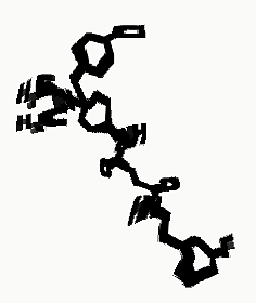 CN(C)C1(Cc2ccc(Cl)cc2)CCC(NC(=O)CCC(=O)NCCc2cccc(F)c2)CC1